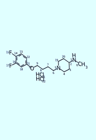 CNC1CCN(CCCCOc2ccc(F)c(F)c2)CC1.Cl.Cl